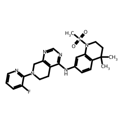 CC1(C)CCN(S(C)(=O)=O)c2cc(Nc3ncnc4c3CCN(c3ncccc3F)C4)ccc21